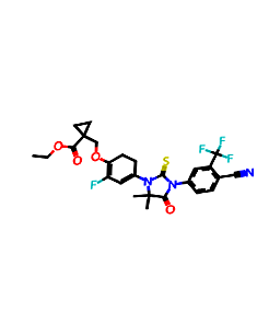 CCOC(=O)C1(COC2=C(F)C=C(N3C(=S)N(c4ccc(C#N)c(C(F)(F)F)c4)C(=O)C3(C)C)CC2)CC1